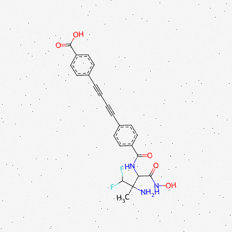 CC(N)(C(F)F)C(NC(=O)c1ccc(C#CC#Cc2ccc(C(=O)O)cc2)cc1)C(=O)NO